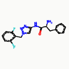 NC(Cc1ccccc1)C(=O)Nc1cn(Cc2c(F)cccc2F)nn1